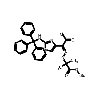 CC(C)(C)OC(=O)C(C)(C)O/N=C(/C(=O)Cl)c1csc(NC(c2ccccc2)(c2ccccc2)c2ccccc2)n1